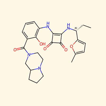 CC[C@@H](Nc1c(Nc2cccc(C(=O)N3CCN4CCCC4C3)c2O)c(=O)c1=O)c1ccc(C)o1